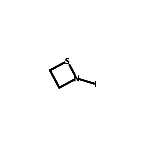 IN1CCS1